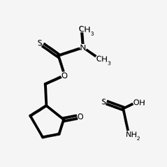 CN(C)C(=S)OCC1CCCC1=O.NC(O)=S